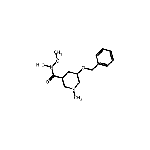 CON(C)C(=O)C1CC(OCc2ccccc2)CN(C)C1